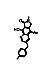 CC(=O)c1c2c(c(O)c3ncc(Cc4ccc(C)cc4)cc13)C(=O)N(C)C2